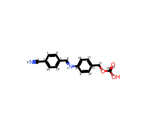 N#Cc1ccc(C=Nc2ccc(COC(=O)O)cc2)cc1